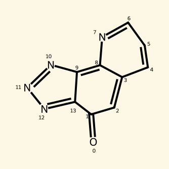 O=C1C=c2cccnc2=C2N=NN=C12